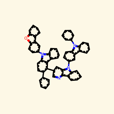 c1ccc(-c2ccc3c(c2-c2cnc4c5ccccc5n(-c5ccc6c(c5)c5ccccc5n6-c5ccccc5)c4c2)c2ccccc2n3-c2ccc3oc4ccccc4c3c2)cc1